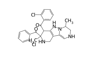 CC1CNC=C2C3=C(NN21)C(C(=O)c1ccccc1Cl)C(C)(C(=O)c1ccccc1Cl)NC3